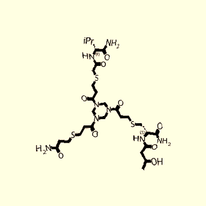 CC(O)CC(=O)N[C@H](CSCCC(=O)N1CN(C(=O)CCSCCC(N)=O)CN(C(=O)CCSCC(=O)N[C@@H](C(N)=O)C(C)C)C1)C(N)=O